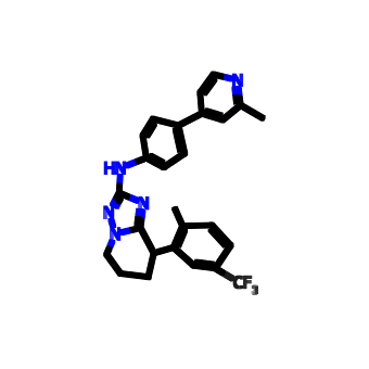 Cc1cc(-c2ccc(Nc3nc4n(n3)CCCC4c3cc(C(F)(F)F)ccc3C)cc2)ccn1